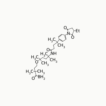 BC(=O)C(C)(C)CCOC(C)(C)CCC(C)(C)NC(=O)CCC(C)(C)c1ccc(N2C(=O)CC(CC)C2=O)cc1